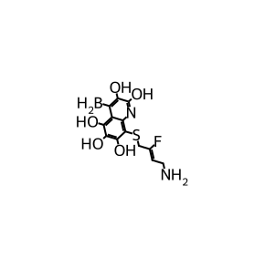 Bc1c(O)c(O)nc2c(SC/C(F)=C/CN)c(O)c(O)c(O)c12